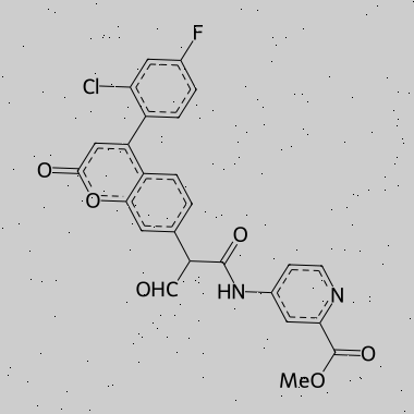 COC(=O)c1cc(NC(=O)C(C=O)c2ccc3c(-c4ccc(F)cc4Cl)cc(=O)oc3c2)ccn1